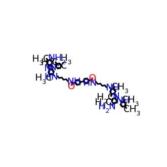 C=C1C=C(NCCCCCCNC(=O)c2ccc(-c3ccc(C(=O)NCCCCCCNc4cc5c(cc4C)nc4cc(C)c(N)cc4[n+]5-c4ccc(C)cc4C)cc3)cc2)C(C)=C/C1=N/c1cc(C)c(N)cc1Nc1ccc(C)cc1C